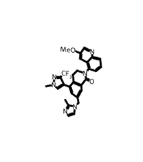 COc1cnc2cccc(N3CCc4c(cc(Cn5ccnc5C)cc4-c4cn(C)nc4C(F)(F)F)C3=O)c2c1